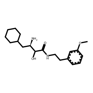 COc1cccc(CCNC(=O)C(O)[C@H](N)CC2CCCCC2)c1